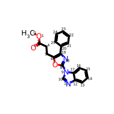 COC(=O)CCc1oc(-n2cnc3ccccc32)nc1-c1ccccc1